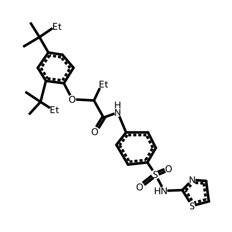 CCC(Oc1ccc(C(C)(C)CC)cc1C(C)(C)CC)C(=O)Nc1ccc(S(=O)(=O)Nc2nccs2)cc1